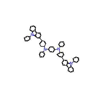 C1=CC(N(c2ccccc2)c2ccc(N(c3ccccc3)c3ccc(-c4ccc5c6ccccc6n(-c6ccccc6)c5c4)cc3)cc2)CC=C1c1ccc2c3ccccc3n(-c3ccccc3)c2c1